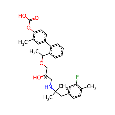 Cc1ccc(CC(C)(C)NC[C@@H](O)COC(C)c2ccccc2-c2ccc(OC(=O)O)c(C)c2)cc1F